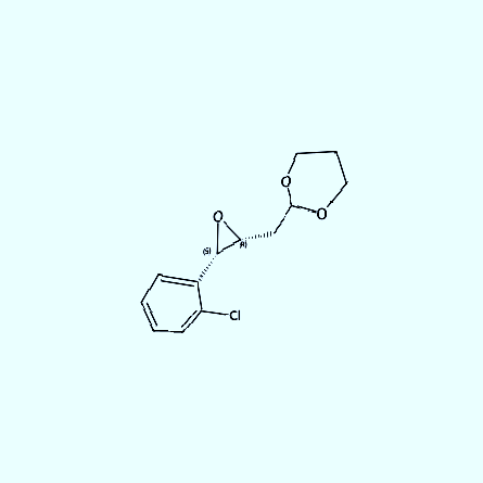 Clc1ccccc1[C@@H]1O[C@@H]1CC1OCCCO1